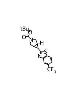 CC(C)(C)OC(=O)N1CC2C(c3nc4cc(C(F)(F)F)ccc4s3)[C@@H]2C1